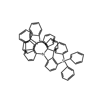 c1ccc(-n2c3ccccc3c3cccc(-n4c5cccc([Si](c6ccccc6)(c6ccccc6)c6ccccc6)c5c5cccc(-n6c7ccccc7c7ccccc76)c54)c32)cc1